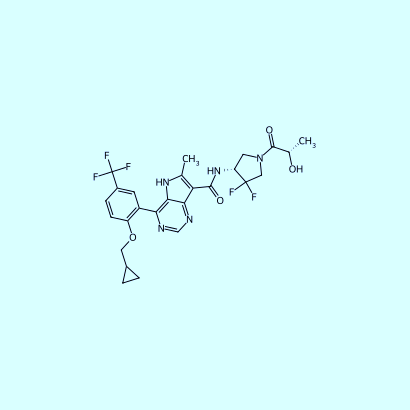 Cc1[nH]c2c(-c3cc(C(F)(F)F)ccc3OCC3CC3)ncnc2c1C(=O)N[C@@H]1CN(C(=O)[C@H](C)O)CC1(F)F